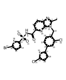 Cc1nc2ccc(C(=O)NS(=O)(=O)c3ccc(Br)s3)nc2n1Cc1ccc(-c2ccc(Cl)s2)cc1Cl